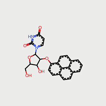 O=c1ccn(C2OC(CO)C(O)C2Oc2ccc3ccc4cccc5ccc2c3c45)c(=O)[nH]1